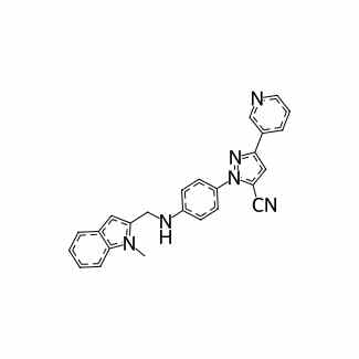 Cn1c(CNc2ccc(-n3nc(-c4cccnc4)cc3C#N)cc2)cc2ccccc21